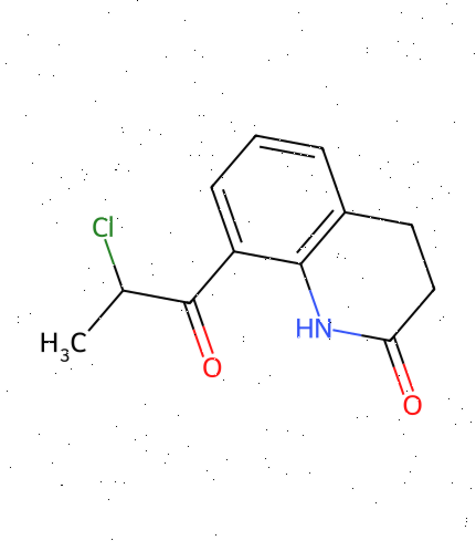 CC(Cl)C(=O)c1cccc2c1NC(=O)CC2